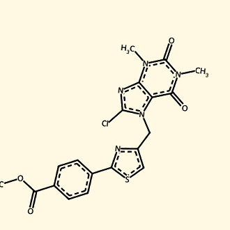 COC(=O)c1ccc(-c2nc(Cn3c(Cl)nc4c3c(=O)n(C)c(=O)n4C)cs2)cc1